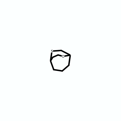 C1CC2CSC(C1)CCO2